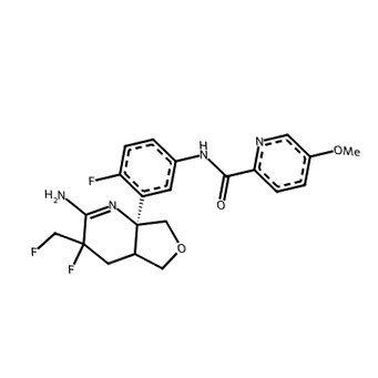 COc1ccc(C(=O)Nc2ccc(F)c([C@]34COCC3CC(F)(CF)C(N)=N4)c2)nc1